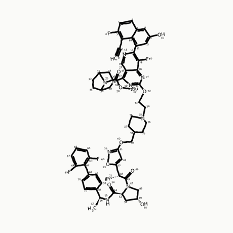 C#Cc1c(F)ccc2cc(O)cc(-c3ncc4c(N5CC6CCC(C5)N6C(=O)OC(C)(C)C)nc(OCCN5CCC(COc6cc([C@H](C(=O)N7C[C@H](O)C[C@H]7C(=O)N[C@@H](C)c7ccc(-c8c(F)cccc8F)cc7)C(C)C)on6)CC5)nc4c3F)c12